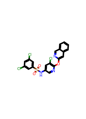 O=S(=O)(Nc1cnc(Oc2cc3ccccc3cn2)c(Cl)c1)c1cc(Cl)cc(Cl)c1